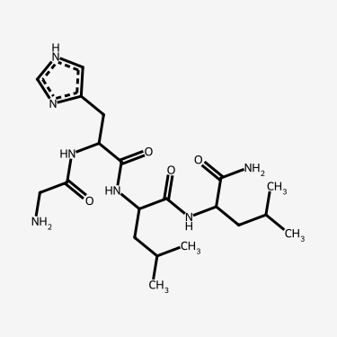 CC(C)CC(NC(=O)C(CC(C)C)NC(=O)C(Cc1c[nH]cn1)NC(=O)CN)C(N)=O